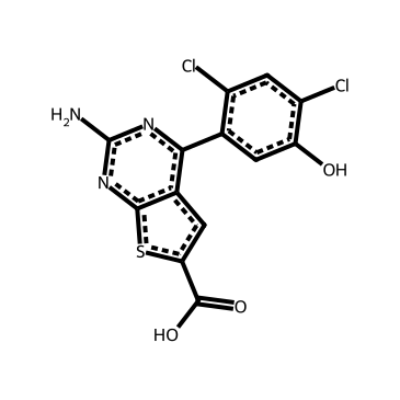 Nc1nc(-c2cc(O)c(Cl)cc2Cl)c2cc(C(=O)O)sc2n1